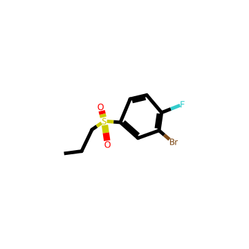 CCCS(=O)(=O)c1ccc(F)c(Br)c1